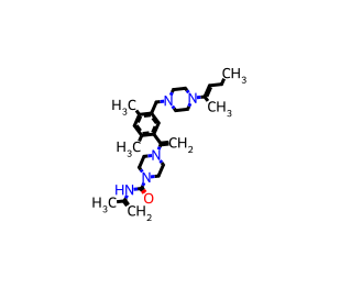 C=C(C)NC(=O)N1CCN(C(=C)c2cc(CN3CCN(/C(C)=C/CC)CC3)c(C)cc2C)CC1